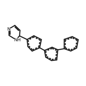 C1=CC(c2ccc(-c3cccc(-c4ccccc4)c3)cc2)NC=N1